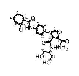 NC(=O)c1ncn(-c2ccc(NC(=O)c3ccccc3Cl)cc2)c1C(=O)NC(CO)CO